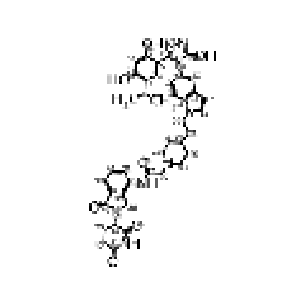 CC(C)c1cc(-c2nnc(O)n2-c2ccc3c(ccn3CCC3CCN(CC(=O)Nc4cccc5c4CN([C@H]4CCC(=O)NC4=O)C5=O)CC3)c2)c(O)cc1O